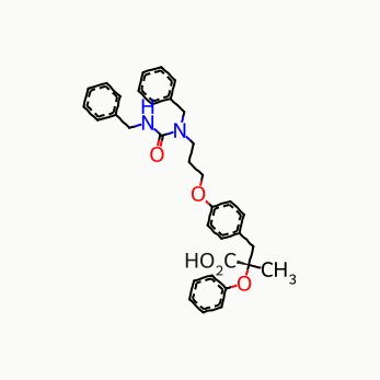 C[C@@](Cc1ccc(OCCCN(Cc2ccccc2)C(=O)NCc2ccccc2)cc1)(Oc1ccccc1)C(=O)O